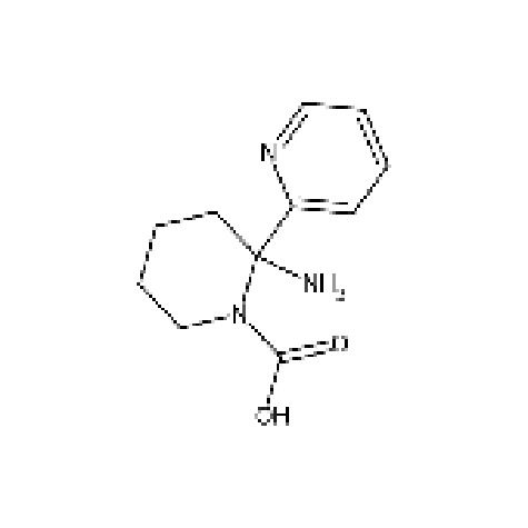 NC1(c2ccccn2)CCCCN1C(=O)O